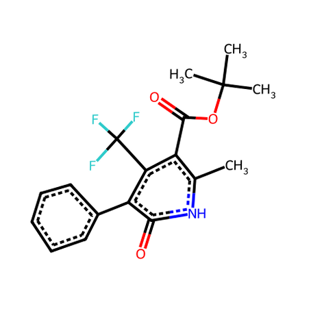 Cc1[nH]c(=O)c(-c2ccccc2)c(C(F)(F)F)c1C(=O)OC(C)(C)C